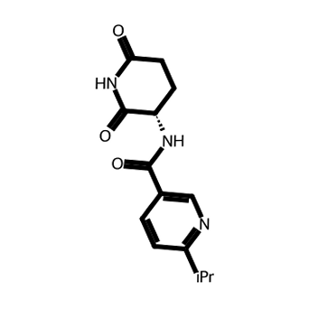 CC(C)c1ccc(C(=O)N[C@H]2CCC(=O)NC2=O)cn1